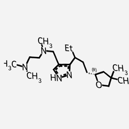 CCC(CC[C@@H]1CC(C)(C)CO1)c1n[nH]cc1CN(C)CCN(C)C